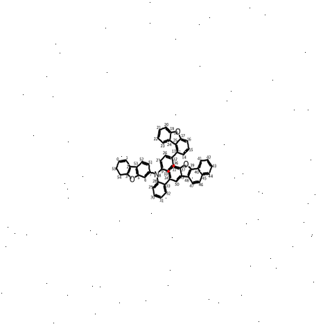 C1=Cc2c(oc3cc(N(c4ccc(-c5cccc6oc7ccccc7c56)cc4)c4ccccc4-c4ccc5oc6c7ccccc7ccc6c5c4)ccc23)CC1